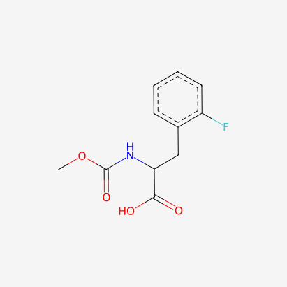 COC(=O)NC(Cc1ccccc1F)C(=O)O